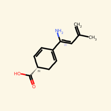 C=C(C)/C=C(\N)C1=CC[C@H](C(=O)O)C=C1